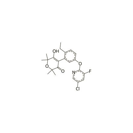 CCc1ccc(Oc2ncc(Cl)cc2F)cc1C1=C(O)C(C)(C)OC(C)(C)C1=O